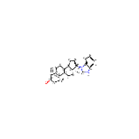 C[C@]12CCC3C(CC[C@@H]4C[C@H](O)CC[C@]34C)C1CC=C2n1cnc2ccccc21